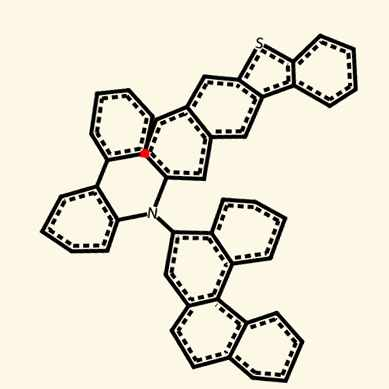 c1ccc(-c2ccccc2N(c2ccc3cc4sc5ccccc5c4cc3c2)c2cc3ccc4ccccc4c3c3ccccc23)cc1